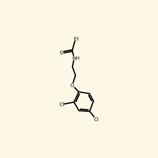 CCC(=O)NCCOc1ccc(Cl)cc1Cl